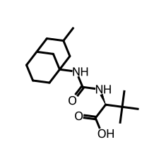 CC1CC2CCCC(NC(=O)N[C@H](C(=O)O)C(C)(C)C)(C1)C2